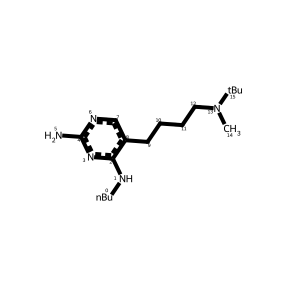 CCCCNc1nc(N)ncc1CCCCN(C)C(C)(C)C